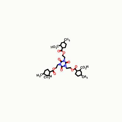 CC1CCC(C(=O)OCCn2c(=O)n(CCOC(=O)C3CCC(C)CC3C(=O)O)c(=O)n(CCOC(=O)C3CCC(C)CC3C(=O)O)c2=O)C(C(=O)O)C1